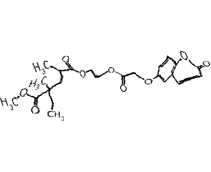 CCC(C)(CC(C)C(=O)OCCOC(=O)COc1ccc2oc(=O)ccc2c1)C(=O)OC